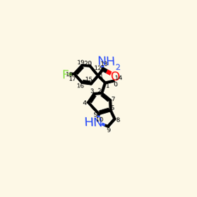 CC(c1ccc2c(c1)CCN2)C1(C(N)=O)C=CC(F)=CC1